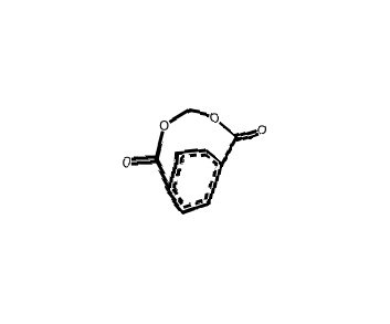 O=C1OCOC(=O)c2ccc1cc2